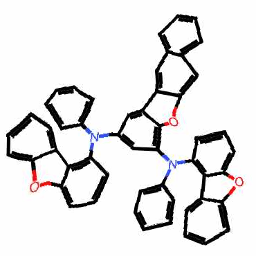 c1ccc(N(c2cc(N(c3ccccc3)c3cccc4oc5ccccc5c34)c3oc4cc5ccccc5cc4c3c2)c2cccc3oc4ccccc4c23)cc1